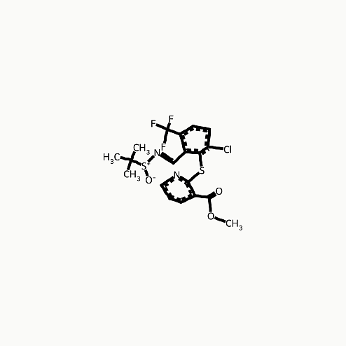 COC(=O)c1cccnc1Sc1c(Cl)ccc(C(F)(F)F)c1C=N[S+]([O-])C(C)(C)C